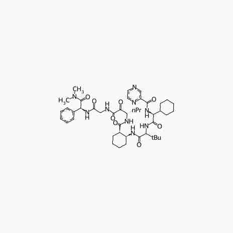 CCC[C@H](NC(=O)[C@@H]1CCCC[C@@H]1NC(=O)C(NC(=O)[C@@H](NC(=O)c1cnccn1)C1CCCCC1)C(C)(C)C)C(=O)C(=O)NCC(=O)N[C@H](C(=O)N(C)C)c1ccccc1